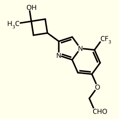 CC1(O)CC(c2cn3c(C(F)(F)F)cc(OCC=O)cc3n2)C1